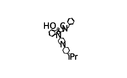 CC(C)C1CCC(N2CCC(n3c(CN(Cc4ccccc4)C(=O)O)cc4ccccc43)CC2)CC1